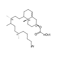 CCCCCCCCC(=O)O[C@H]1CC[C@@]2(C)C(=CCCC2CC[C@@H](C)C(C)CC[C@@H](C)CCCCC(C)C)C1